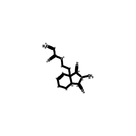 C=CC(=O)OCCC12C=CCCC1C(=O)N(C)C2=O